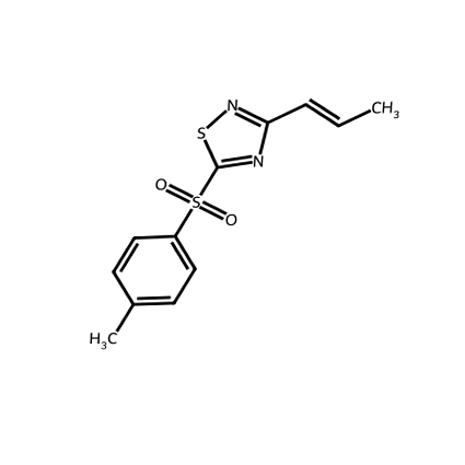 CC=Cc1nsc(S(=O)(=O)c2ccc(C)cc2)n1